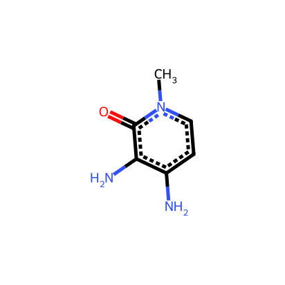 Cn1ccc(N)c(N)c1=O